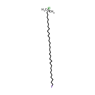 C[Si](C)(Cl)CCCCCCCCCCCCCCCCCCCCCCCCCCCCCCCCI